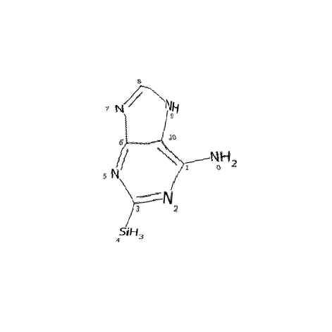 Nc1nc([SiH3])nc2nc[nH]c12